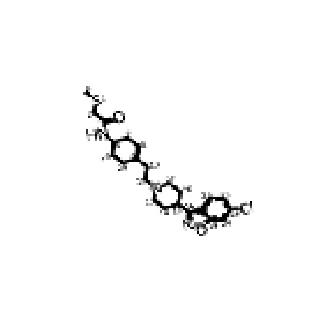 CSCC(=O)NC1CCC(CCN2CCC(c3noc4cc(Cl)ccc34)CC2)CC1